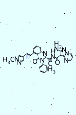 C[C@@H](NC(=O)c1c(N)nn2cccnc12)c1nc2cccc(/C=C/c3cnn(C)c3)c2c(=O)n1-c1ccccc1